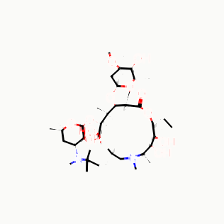 CC[C@H]1OC(=O)[C@H](C)[C@@H](O[C@H]2C[C@@](C)(OC)[C@@H](O)[C@H](C)O2)[C@H](C)[C@@H](O[C@@H]2O[C@H](C)C[C@H](N(C)C(C)(C)C)[C@H]2O)[C@](C)(O)C[C@@H](C)CN(C)[C@H](C)[C@@H](O)[C@]1(C)O